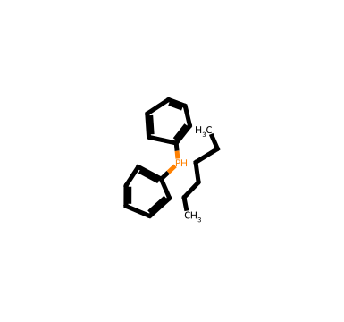 CCCCCC.c1ccc(Pc2ccccc2)cc1